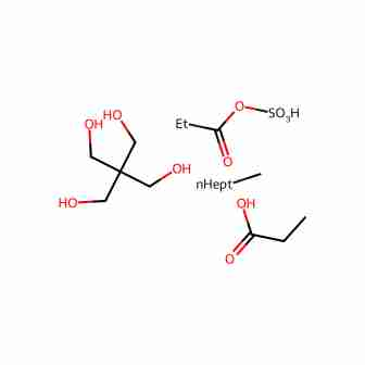 CCC(=O)O.CCC(=O)OS(=O)(=O)O.CCCCCCCC.OCC(CO)(CO)CO